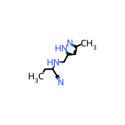 CCC(C#N)NCc1cc(C)n[nH]1